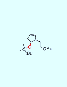 CC(=O)OCC[C@@H]1C=CC[C@@H]1O[Si](C)(C)C(C)(C)C